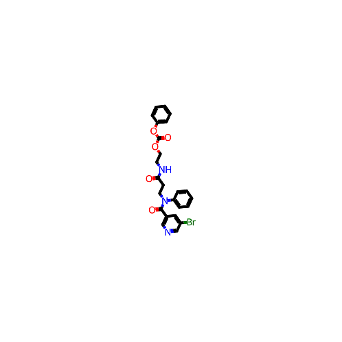 O=C(CCN(C(=O)c1cncc(Br)c1)c1ccccc1)NCCOC(=O)Oc1ccccc1